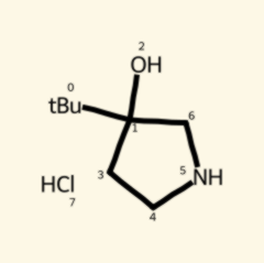 CC(C)(C)C1(O)CCNC1.Cl